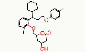 Cc1cccc(C(CCOc2ccc(F)cc2)C2CCCCC2)c1OCC1CC(O)CC(=O)O1